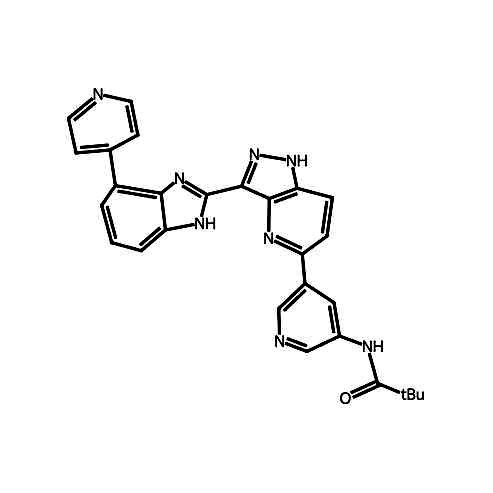 CC(C)(C)C(=O)Nc1cncc(-c2ccc3[nH]nc(-c4nc5c(-c6ccncc6)cccc5[nH]4)c3n2)c1